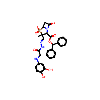 CC1(/C=N/NC(=O)CNc2ccc(O)c(O)c2)C(C(=O)OC(c2ccccc2)c2ccccc2)N2C(=O)CC2S1(=O)=O